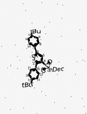 CCCCCCCCCCS(=O)(=O)c1cc(-c2ccc(C(C)(C)C)cc2)sc1-c1ccc(C(C)(C)C)cc1